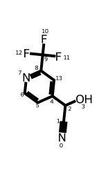 N#CC(O)c1ccnc(C(F)(F)F)c1